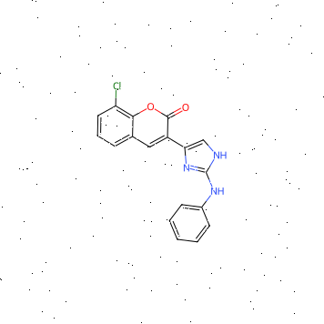 O=c1oc2c(Cl)cccc2cc1-c1c[nH]c(Nc2ccccc2)n1